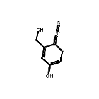 [N-]=[N+]=C1CC=C(O)C=C1CO